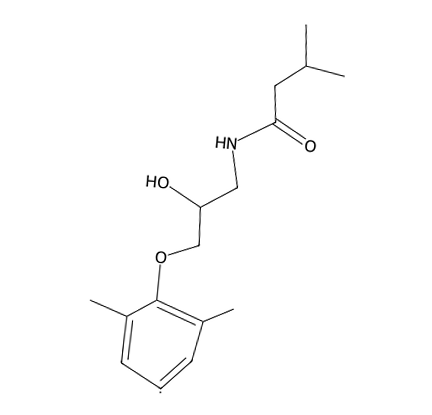 Cc1c[c]cc(C)c1OCC(O)CNC(=O)CC(C)C